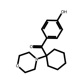 O=C(c1ccc(O)cc1)C1(N2CCOCC2)CCCCC1